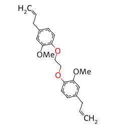 C=CCc1ccc(OCCOc2ccc(CC=C)cc2OC)c(OC)c1